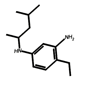 CCc1ccc(NC(C)CC(C)C)cc1N